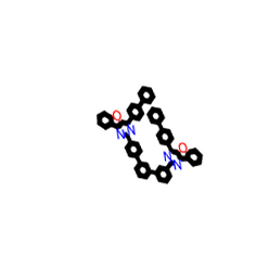 c1ccc(-c2ccc(-c3nc(-c4ccc(-c5cccc(-c6cccc(-c7nc(-c8ccc(-c9ccccc9)cc8)c8oc9ccccc9c8n7)c6)c5)cc4)nc4c3oc3ccccc34)cc2)cc1